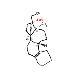 C[C@]12CC[C@@H]3C4=C(CCCC4)CC[C@H]3[C@@H]1CC[C@@]2(O)CC#N